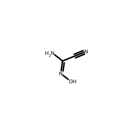 N#C/C(N)=N\O